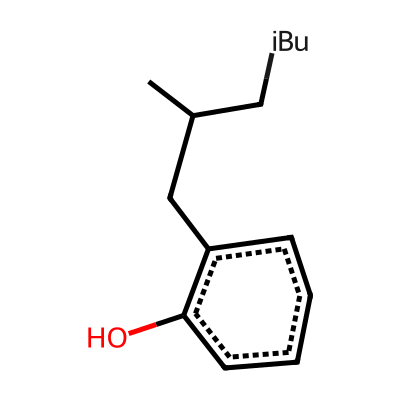 CCC(C)CC(C)Cc1ccccc1O